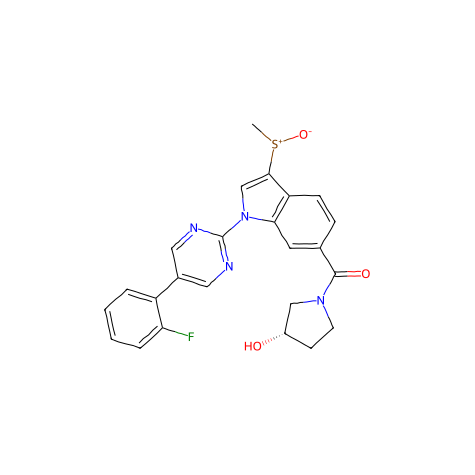 C[S+]([O-])c1cn(-c2ncc(-c3ccccc3F)cn2)c2cc(C(=O)N3CC[C@H](O)C3)ccc12